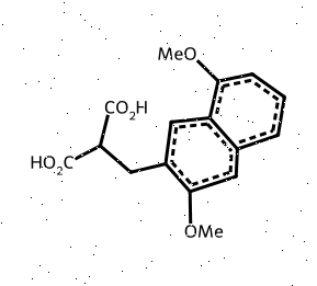 COc1cc2cccc(OC)c2cc1CC(C(=O)O)C(=O)O